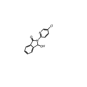 O=C1c2ccccc2C(O)N1c1ccc(Cl)cn1